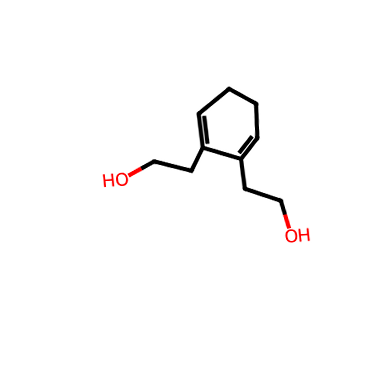 OCCC1=CCCC=C1CCO